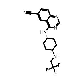 N#Cc1ccc2ncnc(N[C@H]3CC[C@H](NCC(F)(F)F)CC3)c2c1